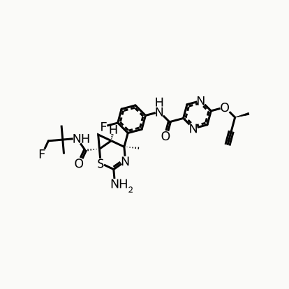 C#C[C@H](C)Oc1cnc(C(=O)Nc2ccc(F)c([C@@]3(C)N=C(N)S[C@@]4(C(=O)NC(C)(C)CF)C[C@H]43)c2)cn1